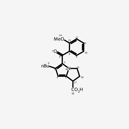 CCCCc1cc2n(c1C(=O)c1ccccc1OC)CCC2C(=O)O